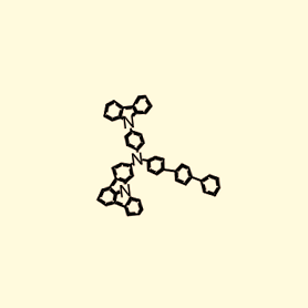 c1ccc(-c2ccc(-c3ccc(N(c4ccc(-n5c6ccccc6c6ccccc65)cc4)c4ccc5c6cccc7c8ccccc8n(c5c4)c76)cc3)cc2)cc1